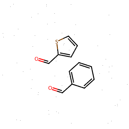 O=Cc1ccccc1.O=Cc1cccs1